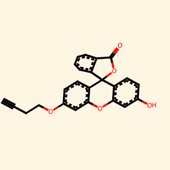 C#CCCOc1ccc2c(c1)Oc1cc(O)ccc1C21OC(=O)c2ccccc21